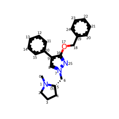 CN1CCC[C@H]1Cn1cc(-c2ccccc2)c(OCc2ccccc2)n1